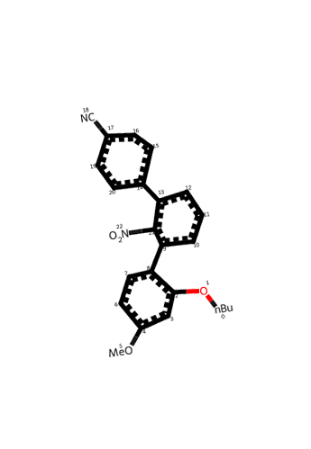 CCCCOc1cc(OC)ccc1-c1cccc(-c2ccc(C#N)cc2)c1[N+](=O)[O-]